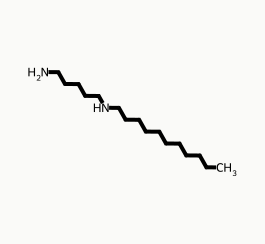 CCCCCCCCCCCNCCCCCN